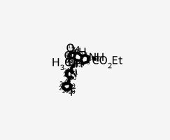 CCOC(=O)N[C@@H]1CC[C@H]2[C@H](C1)C[C@H]1C(=O)O[C@H](C)[C@@H]1[C@@H]2/C=C/c1ccc(-c2cccc(F)c2)cn1